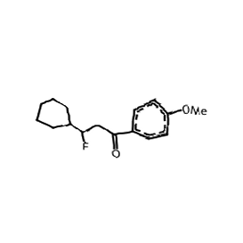 COc1ccc(C(=O)CC(F)C2CCCCC2)cc1